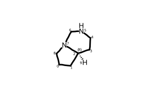 C1C[C@@H]2CCNCN2C1